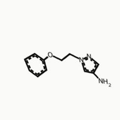 Nc1cnn(CCOc2ccccc2)c1